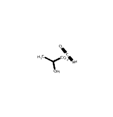 CC(O)C(=O)O.N=C=O